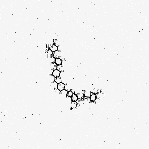 CC(C)Oc1cc2nc(C3CCC(CN4CCC(c5cccc(NC6CCC(=O)NC6=O)c5F)CC4)CC3)cn2cc1NC(=O)c1cccc(C(F)(F)F)n1